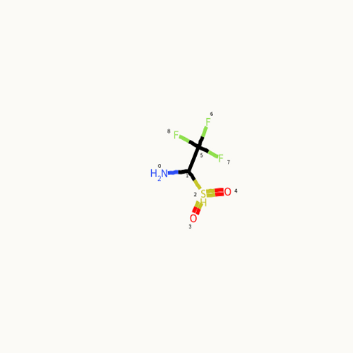 NC([SH](=O)=O)C(F)(F)F